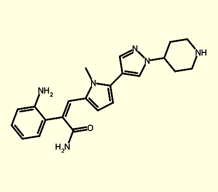 Cn1c(C=C(C(N)=O)c2ccccc2N)ccc1-c1cnn(C2CCNCC2)c1